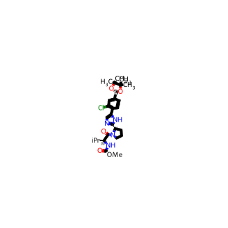 COC(=O)N[C@H](C(=O)N1CCC[C@H]1c1ncc(-c2ccc(B3OC(C)(C)C(C)(C)O3)cc2Cl)[nH]1)C(C)C